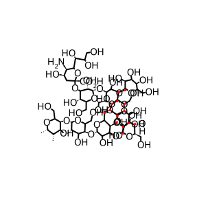 CC1C(O)[C@H](O[C@@H]2OC(CO)[C@H](O)C(O[C@]3(C(=O)O)C[C@@H](O)[C@@H](N)C([C@H](O)[C@H](O)CO)O3)[C@@H]2O)[C@H](CO)O[C@H]1O[C@@H]1C(O)[C@H](O)C(CO)O[C@@H]1OCC1O[C@@H](O[C@@H]2C(CO)O[C@@H](O[C@@H]3C(CO)O[C@@H](C)[C@@H](C)C3O)[C@@H](C)C2O)C(O)C(O[C@H]2O[C@H](CO)[C@@H](O)C(O)C2O[C@@H]2OC(CO)[C@@H](O[C@@H]3OC(CO)[C@H](O)C(O)[C@@H]3O)C(O)[C@@H]2C)[C@@H]1O